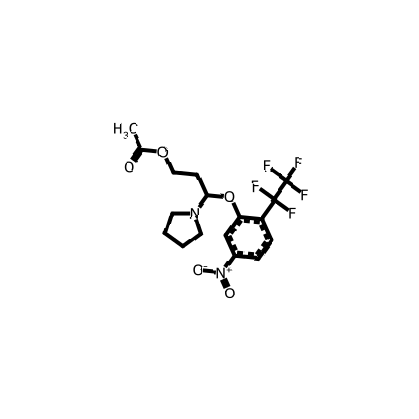 CC(=O)OCCC(Oc1cc([N+](=O)[O-])ccc1C(F)(F)C(F)(F)F)N1CCCC1